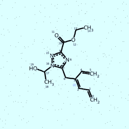 C=C/C=C(\C=C)Cc1nc(C(=O)OCC)nn1C(C)O